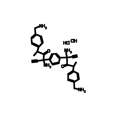 C#CC(N)(C(=O)C(C)c1ccc(CN)cc1)c1ccc(C(N)(C#C)C(=O)C(C)c2ccc(CN)cc2)cc1.Cl.Cl